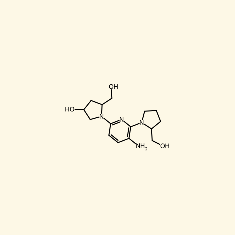 Nc1ccc(N2CC(O)CC2CO)nc1N1CCCC1CO